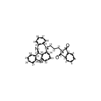 O=C1c2ccccc2C(=O)N1CCCN1c2ccccc2N=C(c2ccccc2Br)c2ccccc21